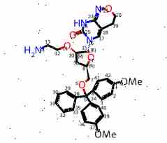 COc1ccc(C(OC[C@H]2[CH][C@@H](OCCN)[C@H](N3C=C4CCON=C4NC3=O)O2)(c2ccccc2)c2ccc(OC)cc2)cc1